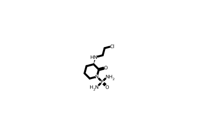 NP(N)(=O)N1CCC[C@H](NCCCl)C1=O